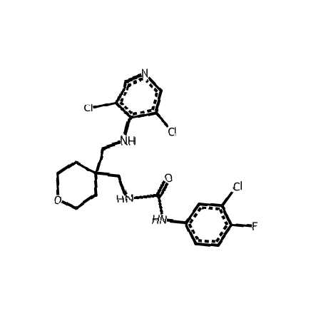 O=C(NCC1(CNc2c(Cl)cncc2Cl)CCOCC1)Nc1ccc(F)c(Cl)c1